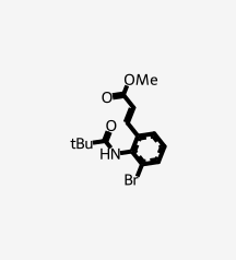 COC(=O)C=Cc1cccc(Br)c1NC(=O)C(C)(C)C